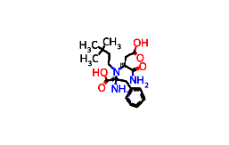 CC(C)(C)CCN([C@@H](CC(=O)O)C(N)=O)[C@](N)(Cc1ccccc1)C(=O)O